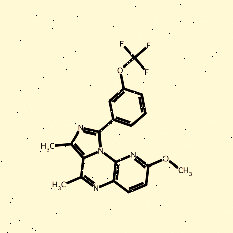 COc1ccc2nc(C)c3c(C)nc(-c4cccc(OC(F)(F)F)c4)n3c2n1